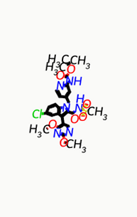 COc1ncc(-c2c(C(=O)NS(C)(=O)=O)n(Cc3ccnc(NC(=O)OC(C)(C)C)c3)c3ccc(Cl)cc23)c(OC)n1